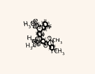 CNC(=O)c1c(-c2ccc(C)cc2)oc2cc(N(C)S(C)(=O)=O)c(-c3ccc4c(n3)-c3cc5c(F)cccc5n3C(CS(C)(=O)=O)C4)cc12